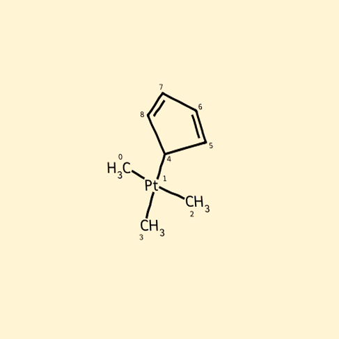 [CH3][Pt]([CH3])([CH3])[CH]1C=CC=C1